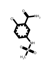 CS(=O)(=O)Nc1ccc(Cl)c(C(N)=O)c1